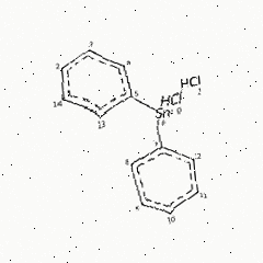 Cl.Cl.c1cc[c]([Sn][c]2ccccc2)cc1